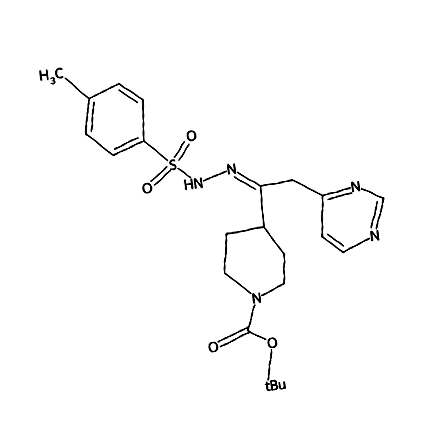 Cc1ccc(S(=O)(=O)NN=C(Cc2ccncn2)C2CCN(C(=O)OC(C)(C)C)CC2)cc1